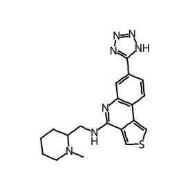 CN1CCCCC1CNc1nc2cc(-c3nnn[nH]3)ccc2c2cscc12